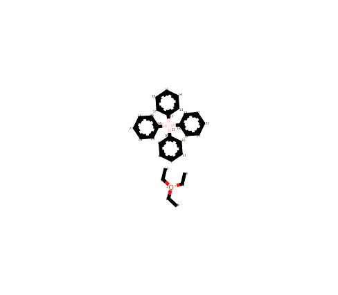 CC[O+](CC)CC.c1ccc([B-](c2ccccc2)(c2ccccc2)c2ccccc2)cc1